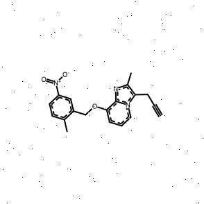 C#CCc1c(C)nc2c(OCc3cc([N+](=O)[O-])ccc3C)cccn12